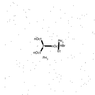 Br.CCCCCCCCP(CCCCCCCC)CCCCCCCC.CCP.P